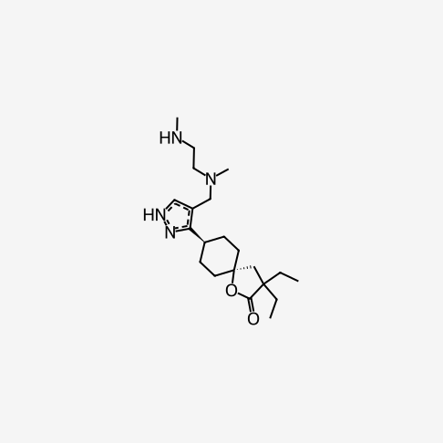 CCC1(CC)C[C@]2(CC[C@H](c3n[nH]cc3CN(C)CCNC)CC2)OC1=O